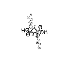 CCCCCOc1cc(C(=O)O)c(OCCCCC)cc1C(=O)O